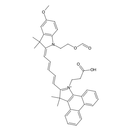 COc1ccc2c(c1)C(C)(C)/C(=C/C=C/C=C/C1=[N+](CCC(=O)O)c3c(c4ccccc4c4ccccc34)C1(C)C)N2CCOC=O